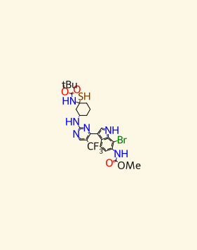 COC(=O)Nc1ccc2c(-c3nc(N[C@H]4CCC[C@@](S)(NC(=O)OC(C)(C)C)C4)ncc3C(F)(F)F)c[nH]c2c1Br